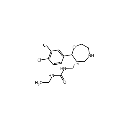 CCNC(=O)NC[C@H]1CNCCOC1c1ccc(Cl)c(Cl)c1